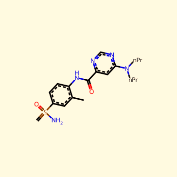 C=S(N)(=O)c1ccc(NC(=O)c2cc(N(CCC)CCC)ncn2)c(C)c1